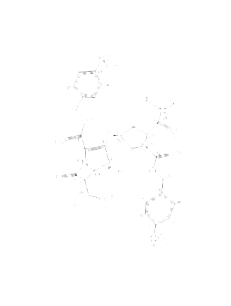 C[C@@H](O)C1C(=O)N2C(C(=O)OCc3ccc([N+](=O)[O-])cc3)=C(S[C@H]3CC(C(=O)N(C)C)N(C(=O)OCc4ccc([N+](=O)[O-])cc4)C3)[C@H](C)C12